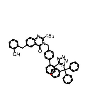 CCCCc1nc2ccc(Cc3ccccc3O)cc2c(=O)n1Cc1ccc(-c2ccccc2-c2nnnn2C(c2ccccc2)(c2ccccc2)c2ccccc2)cc1